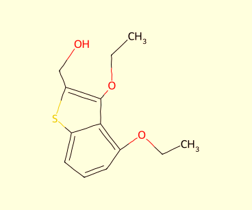 CCOc1cccc2sc(CO)c(OCC)c12